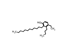 CCCCCCCCCCCCc1c(O)ccc(CC)c1CCCC